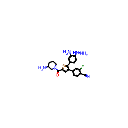 N#Cc1ccc(-c2cc(C(=O)N3CCCC(N)C3)sc2-c2ccc(NN)c(N)c2)cc1F